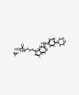 C1CC1.O=C(O)NCCCn1ccc2cnc(Nc3ccc(N4CCOCC4)nc3)nc21